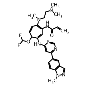 C=CC(=O)NC1=C(N(C)CCN(C)C)C=CC(OC(F)F)C(Nc2cc(-c3ccc4c(cnn4C)c3)ncn2)=C1